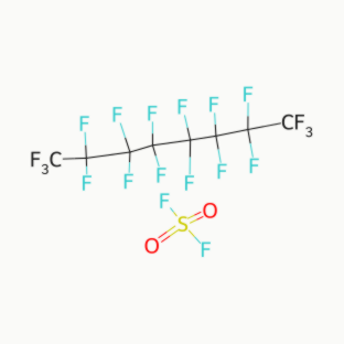 FC(F)(F)C(F)(F)C(F)(F)C(F)(F)C(F)(F)C(F)(F)C(F)(F)C(F)(F)F.O=S(=O)(F)F